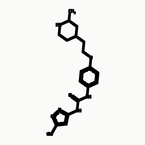 CC1CN(CCOc2ccc(NC(=O)Nc3cc(C(C)(C)C)on3)cc2)CCN1